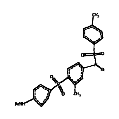 CCN(c1ccc(S(=O)(=O)c2ccc(NC(C)=O)cc2)c(C)c1)S(=O)(=O)c1ccc(C)cc1